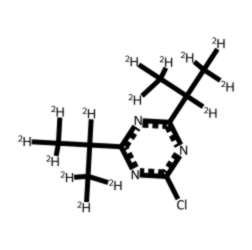 [2H]C([2H])([2H])C([2H])(c1nc(Cl)nc(C([2H])(C([2H])([2H])[2H])C([2H])([2H])[2H])n1)C([2H])([2H])[2H]